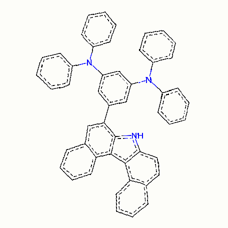 c1ccc(N(c2ccccc2)c2cc(-c3cc4ccccc4c4c3[nH]c3ccc5ccccc5c34)cc(N(c3ccccc3)c3ccccc3)c2)cc1